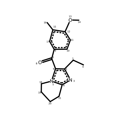 CCc1nc2n(c1C(=O)c1ccc(OC)c(C)c1)CCCC2